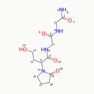 NC(=O)CNC(=O)CNC(=O)C(CCO)N1CCCC1=O